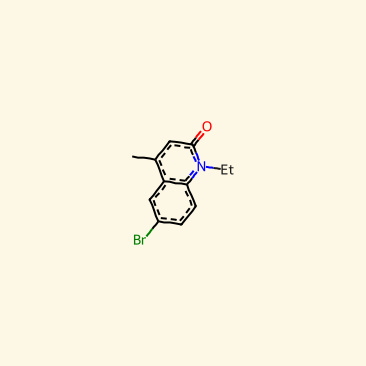 CCn1c(=O)cc(C)c2cc(Br)ccc21